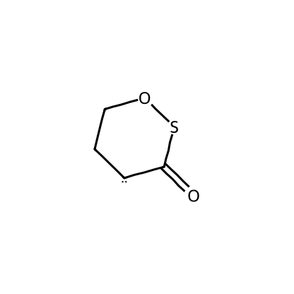 O=C1[C]CCOS1